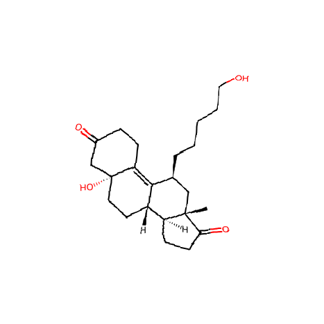 C[C@]12C[C@H](CCCCCO)C3=C4CCC(=O)C[C@]4(O)CC[C@H]3[C@@H]1CCC2=O